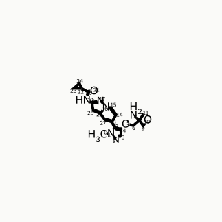 Cn1ncc(OCC2(N)COC2)c1-c1ccn2nc(NC(=O)C3CC3)cc2c1